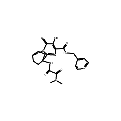 CN(C)C(=O)C(=O)NC12CCC(CC1)Cn1c2nc(C(=O)NCc2ccncc2)c(O)c1=O